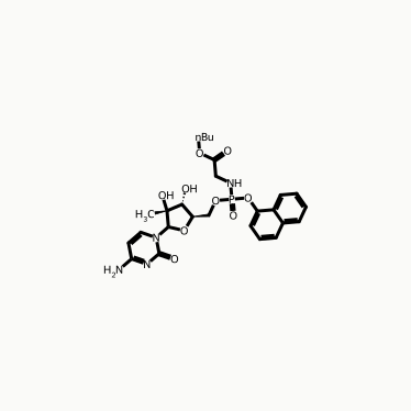 CCCCOC(=O)CNP(=O)(OC[C@H]1OC(n2ccc(N)nc2=O)[C@](C)(O)[C@@H]1O)Oc1cccc2ccccc12